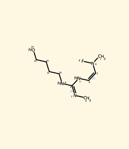 C/N=C(\N/C=C\N(C)F)NCCCCO